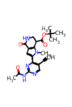 C#Cc1cnc(NC(C)=O)nc1-c1cc2c(n1C)C(C(=O)OC(C)(C)C)CNC2=O